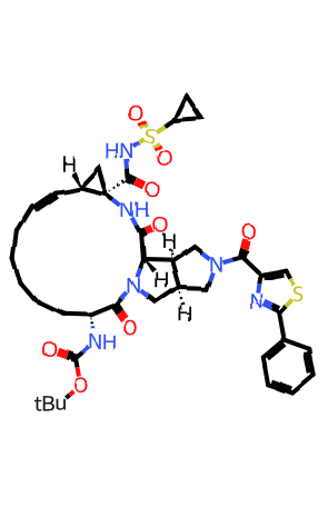 CC(C)(C)OC(=O)N[C@@H]1CCCCC/C=C\[C@@H]2C[C@@]2(C(=O)NS(=O)(=O)C2CC2)NC(=O)[C@@H]2[C@H]3CN(C(=O)c4csc(-c5ccccc5)n4)C[C@H]3CN2C1=O